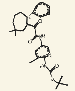 Cc1cc(NC(=O)C(=O)C2CC(C)(C)CCC[C@@H]2c2ccccc2)cnc1NC(=O)OC(C)(C)C